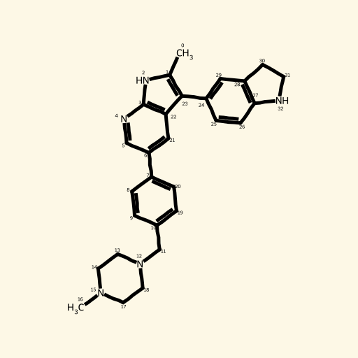 Cc1[nH]c2ncc(-c3ccc(CN4CCN(C)CC4)cc3)cc2c1-c1ccc2c(c1)CCN2